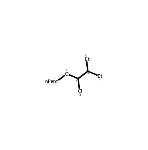 CCCCCOC(Cl)C(CC)CC